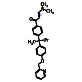 CC(C)C(C)(c1ccc(OCc2ccccn2)cc1)c1ccc(C(=O)/C=C/N(C)C)cc1